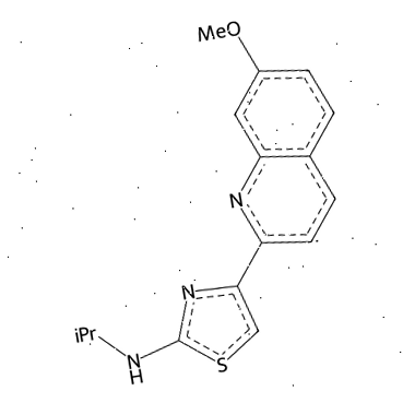 COc1ccc2c[c]c(-c3csc(NC(C)C)n3)nc2c1